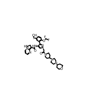 CSc1ccc(OC(F)F)c(-c2nn(CC(=O)N3CCC(N4CCN(C5CCOCC5)CC4)CC3)cc2NC(=O)C2=C3N=CC=CN3NC2)c1